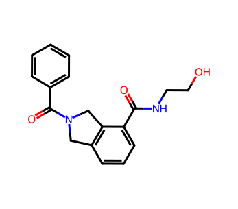 O=C(NCCO)c1cccc2c1CN(C(=O)c1ccccc1)C2